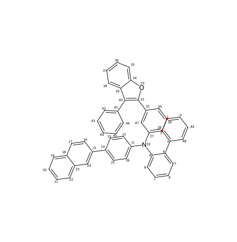 c1ccc(-c2ccccc2N(c2ccc(-c3ccc4ccccc4c3)cc2)c2cccc(-c3oc4ccccc4c3-c3ccccc3)c2)cc1